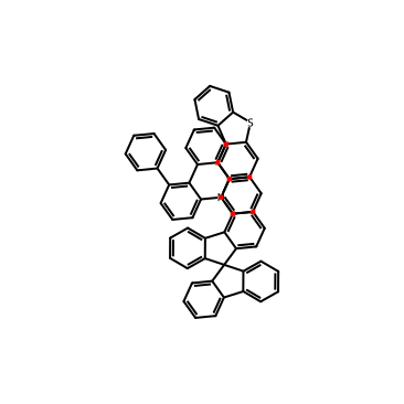 c1ccc(-c2ccccc2-c2c(-c3ccccc3)cccc2N(c2ccc3sc4ccccc4c3c2)c2cccc3c2-c2ccccc2C32c3ccccc3-c3ccccc32)cc1